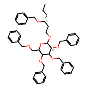 CCC[C@H](CCOC1OC(COCc2ccccc2)C(OCc2ccccc2)C(OCc2ccccc2)[C@@H]1OCc1ccccc1)OCc1ccccc1